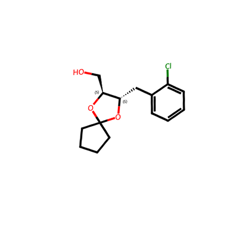 OC[C@@H]1OC2(CCCC2)O[C@H]1Cc1ccccc1Cl